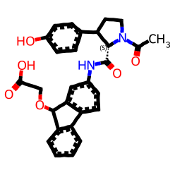 CC(=O)N1CCC(c2ccc(O)cc2)[C@H]1C(=O)Nc1ccc2c(c1)C(OCC(=O)O)c1ccccc1-2